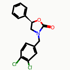 O=C1O[C@H](c2ccccc2)CN1Cc1ccc(Cl)c(Cl)c1